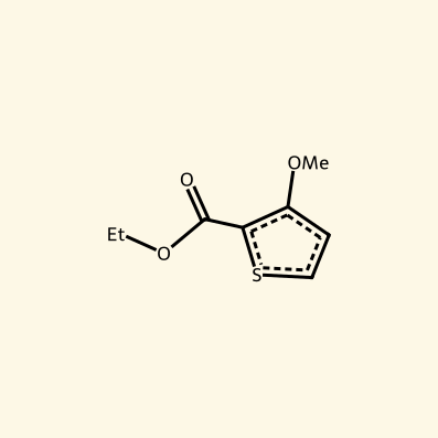 CCOC(=O)c1sccc1OC